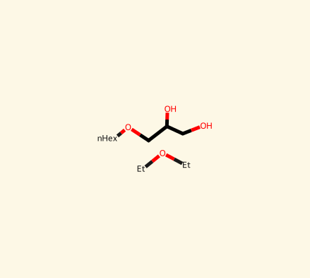 CCCCCCOCC(O)CO.CCOCC